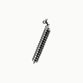 FC(F)(F)C(F)(F)C(F)(F)C(F)(F)C(F)(F)C(F)(F)C(F)(F)C(F)(F)C(F)(F)C(F)(F)C(F)(F)C(F)(F)C(F)(F)C(F)(F)C(F)(F)COCC1CO1